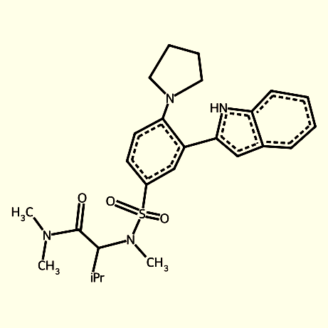 CC(C)C(C(=O)N(C)C)N(C)S(=O)(=O)c1ccc(N2CCCC2)c(-c2cc3ccccc3[nH]2)c1